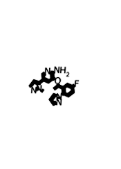 CC(Oc1cc(-c2ccnn2C)cnc1N)c1cc(F)ccc1-n1cccn1